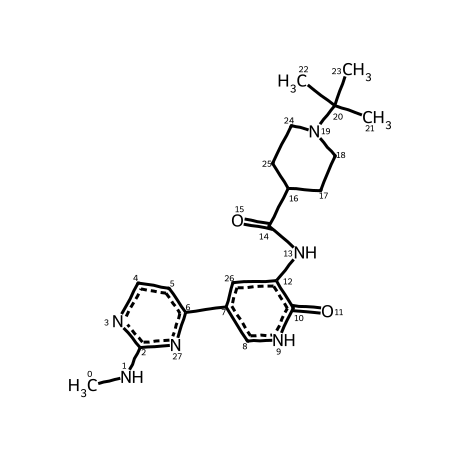 CNc1nccc(-c2c[nH]c(=O)c(NC(=O)C3CCN(C(C)(C)C)CC3)c2)n1